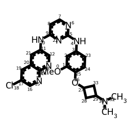 COc1cc(Nc2nccc(Nc3cnc4ncc(Cl)cc4c3)n2)ccc1OC1CC(N(C)C)C1